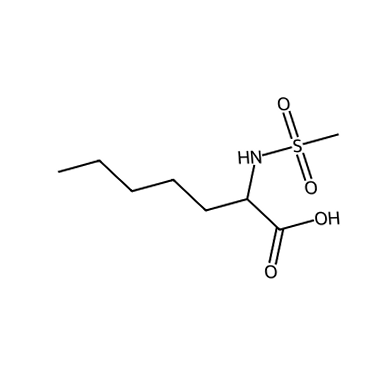 CCCCCC(NS(C)(=O)=O)C(=O)O